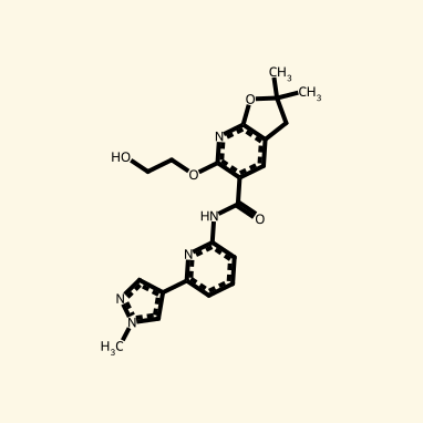 Cn1cc(-c2cccc(NC(=O)c3cc4c(nc3OCCO)OC(C)(C)C4)n2)cn1